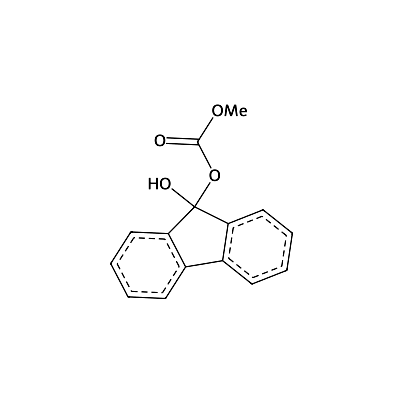 COC(=O)OC1(O)c2ccccc2-c2ccccc21